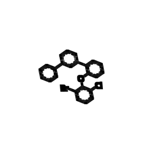 Clc1cccc(Br)c1Oc1ccccc1-c1cccc(-c2ccccc2)c1